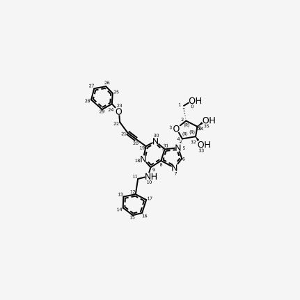 OC[C@H]1O[C@@H](n2cnc3c(NCc4ccccc4)nc(C#CCOc4ccccc4)nc32)[C@H](O)[C@@H]1O